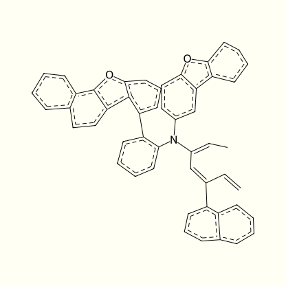 C=C/C(=C\C(=C/C)N(c1ccc2oc3ccccc3c2c1)c1ccccc1-c1cccc2oc3c4ccccc4ccc3c12)c1cccc2ccccc12